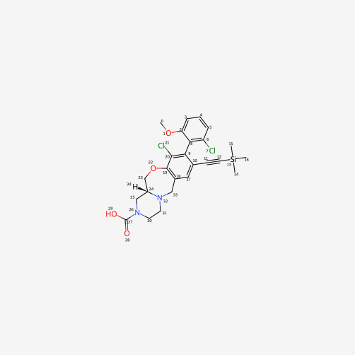 COc1cccc(Cl)c1-c1c(C#C[Si](C)(C)C)cc2c(c1Cl)OC[C@H]1CN(C(=O)O)CCN1C2